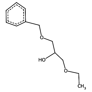 CCOCC(O)COCc1ccccc1